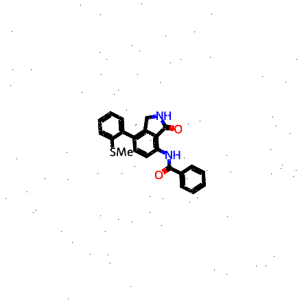 CSc1ccccc1-c1ccc(NC(=O)c2ccccc2)c2c1CNC2=O